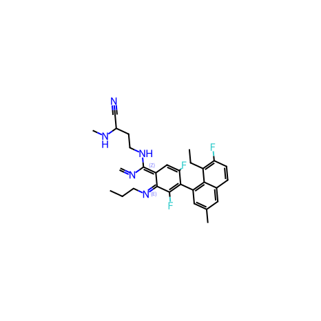 C=N/C(NCCC(C#N)NC)=C1/C=C(F)C(c2cc(C)cc3ccc(F)c(CC)c23)=C(F)/C1=N/CCC